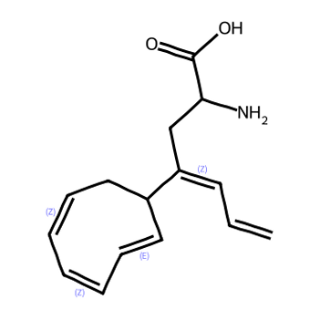 C=C/C=C(/CC(N)C(=O)O)C1/C=C/C=C\C=C/C1